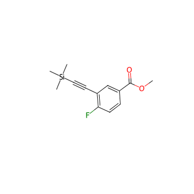 COC(=O)c1ccc(F)c(C#C[Si](C)(C)C)c1